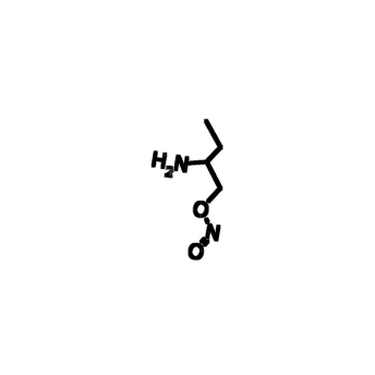 CCC(N)CON=O